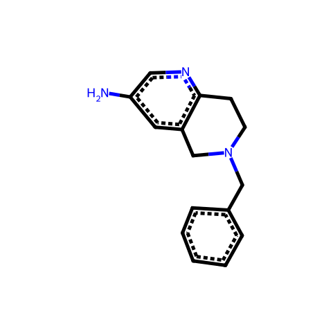 Nc1cnc2c(c1)CN(Cc1ccccc1)CC2